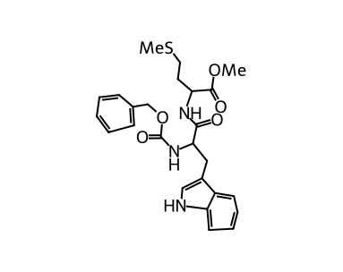 COC(=O)C(CCSC)NC(=O)C(Cc1c[nH]c2ccccc12)NC(=O)OCc1ccccc1